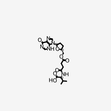 CC(C)[C@H](NC(=O)CCC(=O)OC[C@@H]1CC[C@H](n2cnc3c(=O)nc[nH]c32)O1)C(=O)O